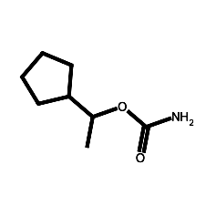 CC(OC(N)=O)C1CCCC1